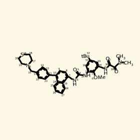 COc1c(NC(=O)Nc2ccc(-c3ccc(CN4CCSCC4)cc3)c3ccccc23)cc(C(C)(C)C)cc1NC(=O)C(=O)N(C)C